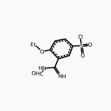 CCOc1ccc(S(=O)(=O)Cl)cc1C(=N)NC=O